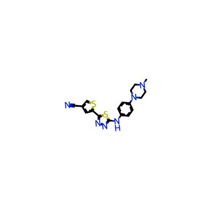 CN1CCN(c2ccc(Nc3nnc(-c4cc(C#N)cs4)s3)cc2)CC1